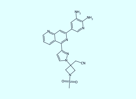 CS(=O)(=O)N1CC(CC#N)(n2ccc(-c3nc(-c4cnc(N)c(N)c4)cc4ncccc34)n2)C1